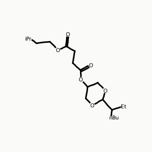 CCCCC(CC)C1OCC(OC(=O)CCC(=O)OCCC(C)C)CO1